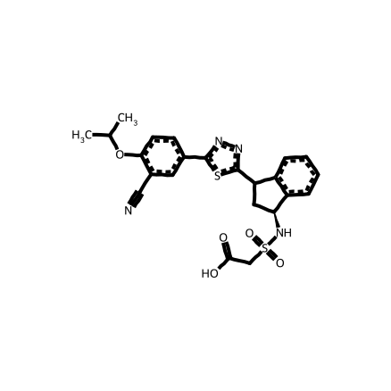 CC(C)Oc1ccc(-c2nnc(C3C[C@H](NS(=O)(=O)CC(=O)O)c4ccccc43)s2)cc1C#N